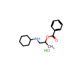 CC(CNC1CCCCC1)OC(=O)c1ccccc1.Cl